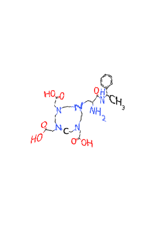 C[C@@H](NC(=O)C(N)CN1CCN(CC(=O)O)CCN(CC(=O)O)CCN(CC(=O)O)CC1)c1ccccc1